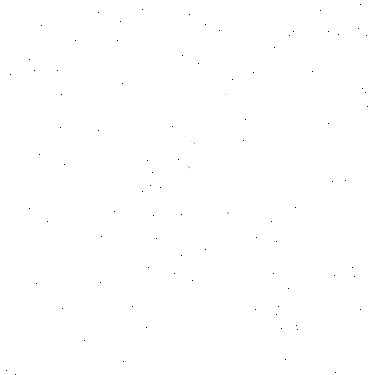 OCC(/C=C/[C@H]1[C@H](O)CC2OC(CO)C[C@@H]21)CCc1ccccc1